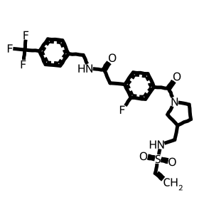 C=CS(=O)(=O)NCC1CCN(C(=O)c2ccc(CC(=O)NCc3ccc(C(F)(F)F)cc3)c(F)c2)C1